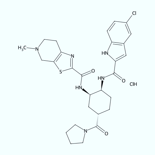 CN1CCc2nc(C(=O)N[C@@H]3C[C@@H](C(=O)N4CCCC4)CC[C@@H]3NC(=O)c3cc4cc(Cl)ccc4[nH]3)sc2C1.Cl